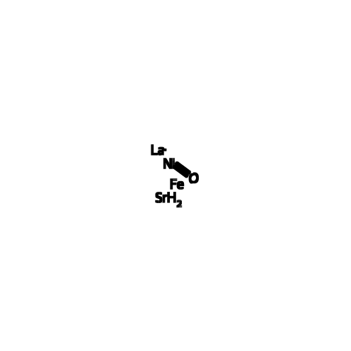 [Fe].[La].[O]=[Ni].[SrH2]